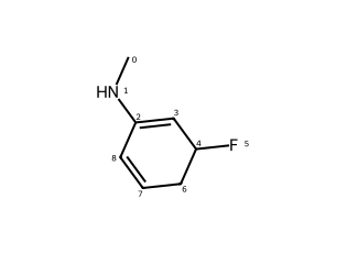 CNC1=CC(F)CC=C1